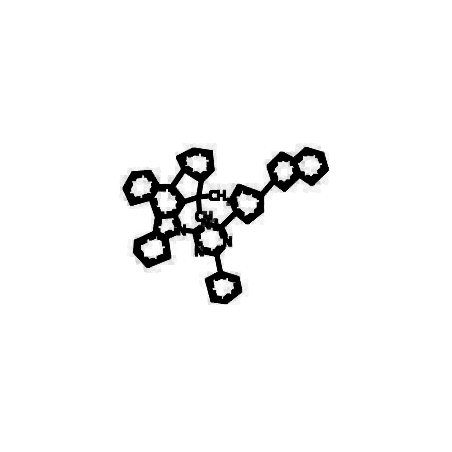 CC1(C)c2ccccc2-c2c1c1c(c3ccccc23)c2ccccc2n1-c1nc(-c2ccccc2)nc(-c2ccc(-c3ccc4ccccc4c3)cc2)n1